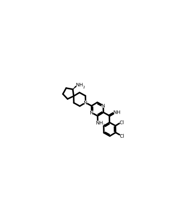 N=C(c1cccc(Cl)c1Cl)c1ncc(N2CCC3(CCC[C@H]3N)CC2)nc1N